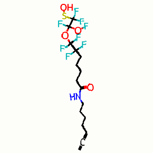 C=C=CCCCCNC(=O)CCCCC(F)(F)C(F)(F)OC(F)(OF)C(F)(F)SO